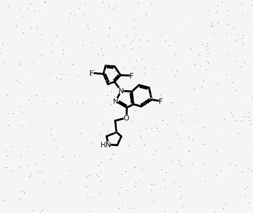 Fc1ccc(F)c(-n2nc(OCC3CCNC3)c3cc(F)ccc32)c1